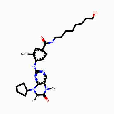 CC[C@@H]1C(=O)N(C)c2cnc(Nc3ccc(C(=O)NCCCCCCCCO)cc3OC)nc2N1C1CCCC1